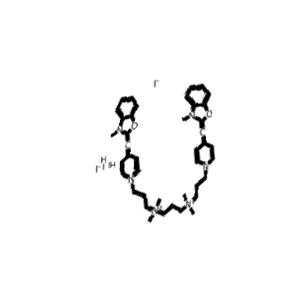 CN1C(=C=C2C=CN(CCC[N+](C)(C)CCC[N+](C)(C)CCCN3C=CC(=C=C4Oc5ccccc5N4C)C=C3)C=C2)Oc2ccccc21.I.I.[I-].[I-]